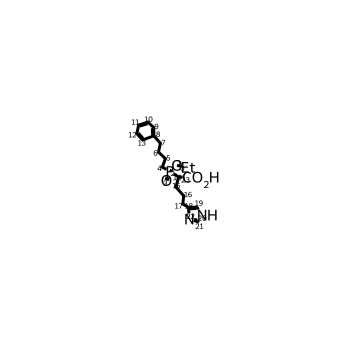 CCOP(=O)(CCCCc1ccccc1)C(CCCc1c[nH]cn1)C(=O)O